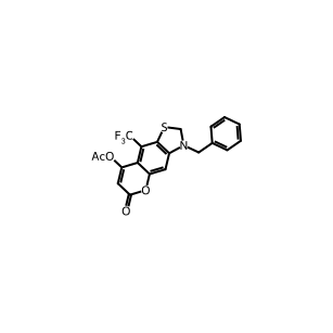 CC(=O)Oc1cc(=O)oc2cc3c(c(C(F)(F)F)c12)SCN3Cc1ccccc1